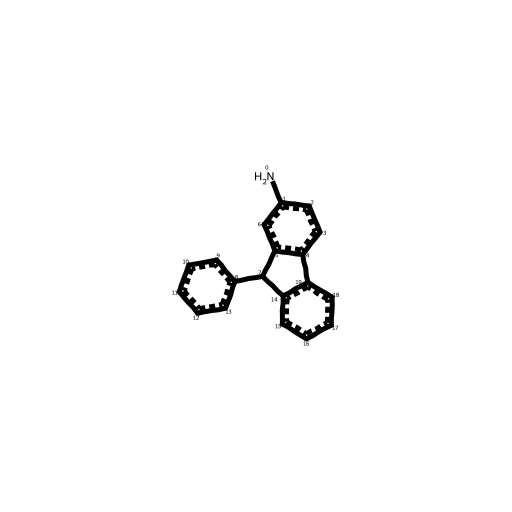 Nc1ccc2c(c1)C(c1ccccc1)c1ccccc1-2